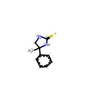 CC1(c2ccccc2)CNC(=S)N1